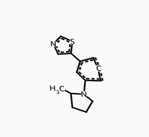 CC1CCCN1c1cccc(-c2cncs2)c1